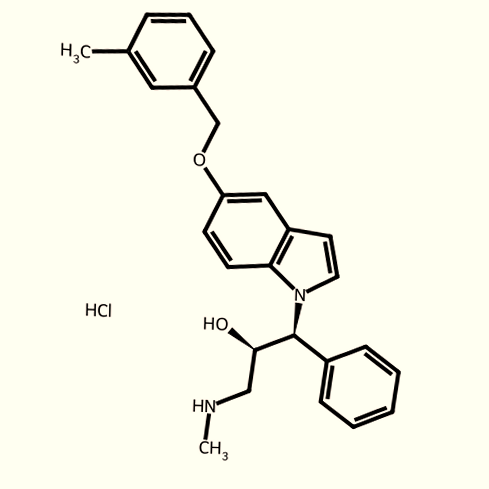 CNC[C@@H](O)[C@H](c1ccccc1)n1ccc2cc(OCc3cccc(C)c3)ccc21.Cl